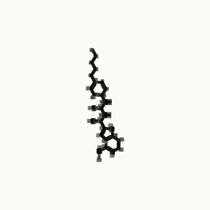 CCCCCc1ccc(NC(=S)NC(=O)c2cc3c(OC)nccc3o2)cc1